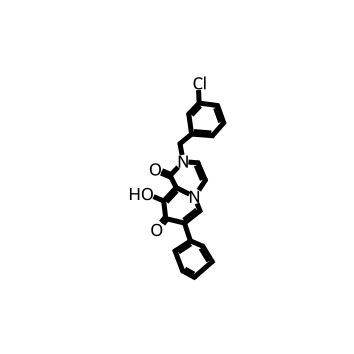 O=c1c(-c2ccccc2)cn2ccn(Cc3cccc(Cl)c3)c(=O)c2c1O